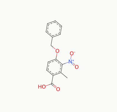 Cc1c(C(=O)O)ccc(OCc2ccccc2)c1[N+](=O)[O-]